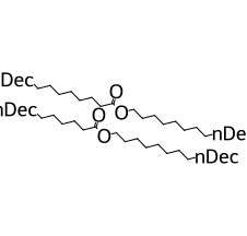 CCCCCCCCCCCCCCCCCCOC(=O)CCCCCCCCCCCCCCC.CCCCCCCCCCCCCCCCCCOC(=O)CCCCCCCCCCCCCCCCC